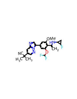 C=C(NC1CC1F)c1c(OC)cc(-c2cnc3cc(C(C)(C)C#N)cnn23)cc1OC(F)F